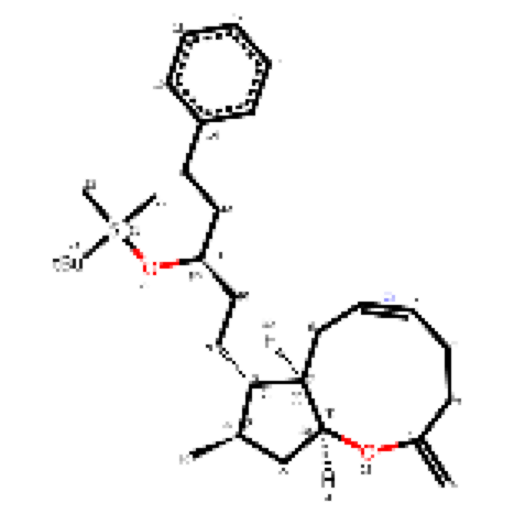 C=C1CC/C=C\C[C@@H]2[C@@H](CC[C@H](CCc3ccccc3)O[Si](C)(C)C(C)(C)C)[C@H](C)C[C@@H]2O1